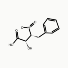 O=C(O)[C@@H](O)[C@@H](Cc1ccccc1)[N+](=O)[O-]